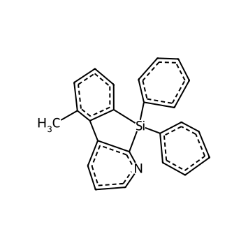 Cc1cccc2c1-c1cccnc1[Si]2(c1ccccc1)c1ccccc1